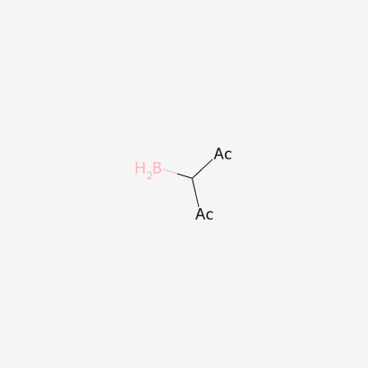 BC(C(C)=O)C(C)=O